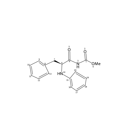 COC(=O)NC(=O)[C@H](Cc1ccccc1)Nc1ccccc1